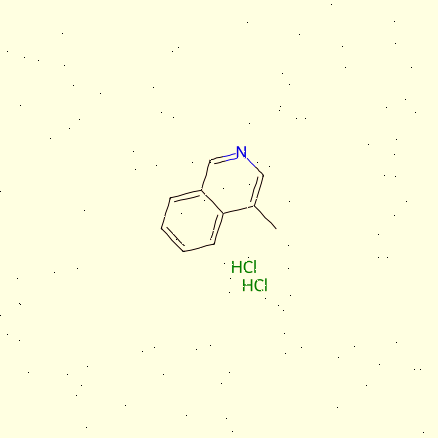 Cc1cncc2ccccc12.Cl.Cl